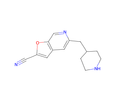 N#Cc1cc2cc(CC3CCNCC3)ncc2o1